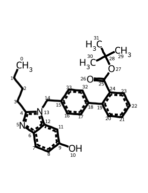 CCCCc1nc2ccc(O)cc2n1Cc1ccc(-c2ccccc2C(=O)OC(C)(C)C)cc1